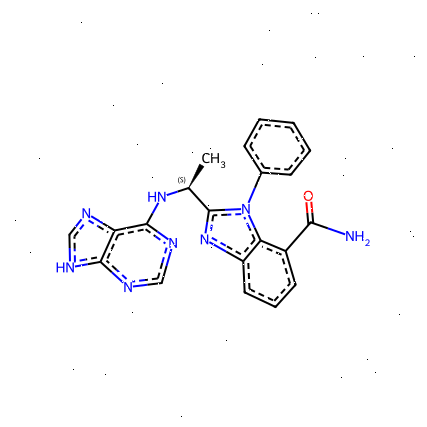 C[C@H](Nc1ncnc2[nH]cnc12)c1nc2cccc(C(N)=O)c2n1-c1ccccc1